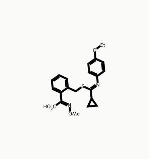 CCOc1ccc(N=C(SCc2ccccc2C(=NOC)C(=O)O)C2CC2)cc1